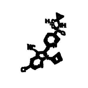 CC1(NS(=O)(=O)c2ccc(-c3c(C#N)c4cc(Cl)cnc4n3C3=CC=C3)nc2)CC1